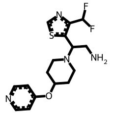 NCC(c1scnc1C(F)F)N1CCC(Oc2ccncc2)CC1